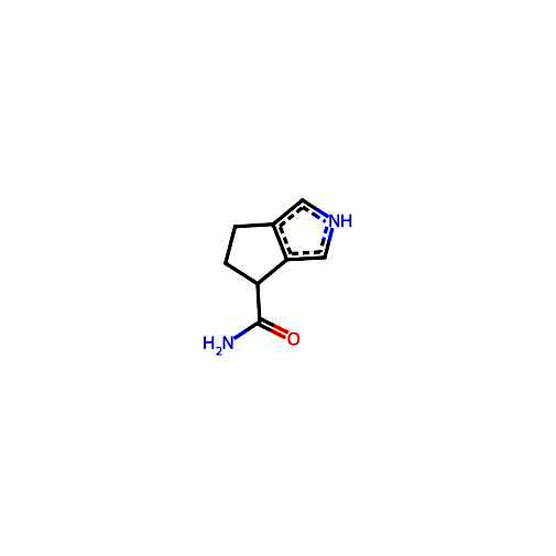 NC(=O)C1CCc2c[nH]cc21